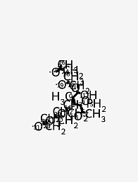 CC(=CC(OP)C(C)[O])C(=O)O.[CH2]C(C)[O].[CH2]C(C)[O].[CH2]C(C)[O].[CH2]C(C)[O].[CH2]C(C)[O]